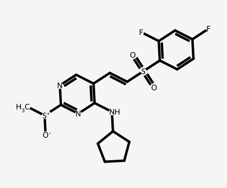 C[S+]([O-])c1ncc(C=CS(=O)(=O)c2ccc(F)cc2F)c(NC2CCCC2)n1